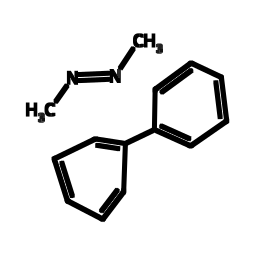 CN=NC.c1ccc(-c2ccccc2)cc1